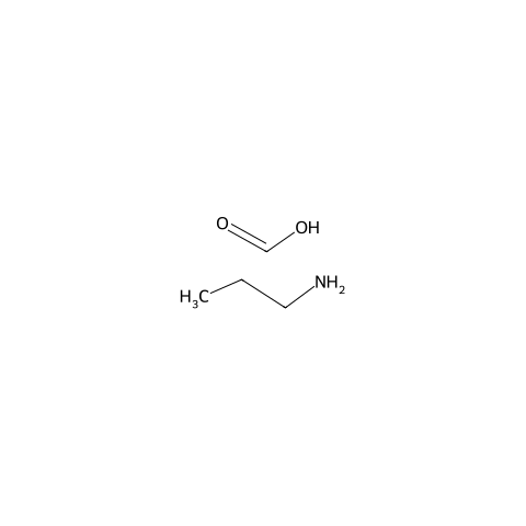 CCCN.O=CO